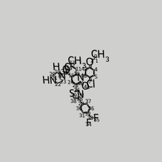 CCOc1ccc(Cl)c(-n2c(C=C(C)C)c(C(=O)N3CCNCC3)cc(-c3nc(-c4ccc(C(F)F)cc4)cs3)c2=O)c1